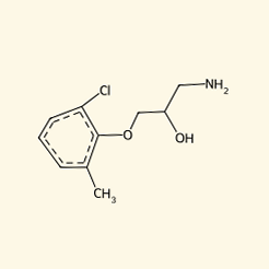 Cc1cccc(Cl)c1OCC(O)CN